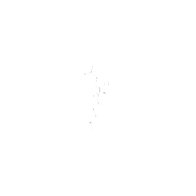 CCCCCOP(O)(=S)SCC(C)C